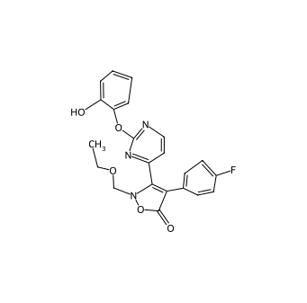 CCOCn1oc(=O)c(-c2ccc(F)cc2)c1-c1ccnc(Oc2ccccc2O)n1